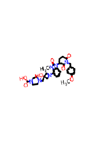 COc1ccc(CN2C(=O)CCC(n3c(=O)n(C)c4c(N5CC(O)(CN6CCN(C(=O)O)CC6)C5)cccc43)C2=O)cc1